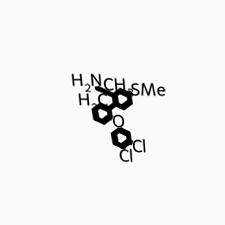 CSc1ccc(-c2ccccc2Oc2ccc(Cl)c(Cl)c2)c(C(C)(C)CN)c1